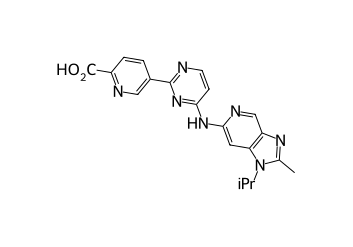 Cc1nc2cnc(Nc3ccnc(-c4ccc(C(=O)O)nc4)n3)cc2n1C(C)C